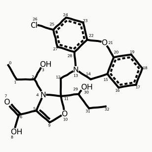 CCC(O)N1C(C(=O)O)=COC1(CN1Cc2ccccc2Oc2ccc(Cl)cc21)C(O)CC